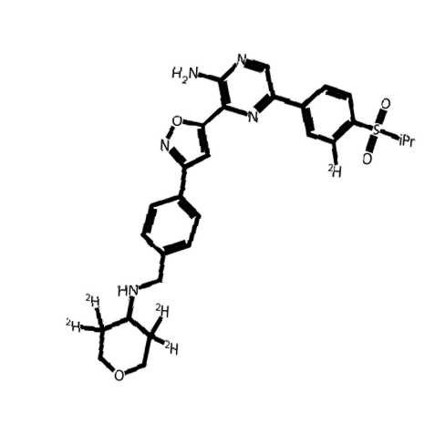 [2H]c1cc(-c2cnc(N)c(-c3cc(-c4ccc(CNC5C([2H])([2H])COCC5([2H])[2H])cc4)no3)n2)ccc1S(=O)(=O)C(C)C